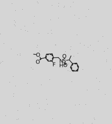 COC(=O)c1ccc(CNS(=O)(=O)C(C)c2ccccc2)c(F)c1